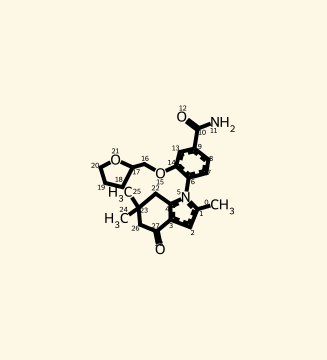 Cc1cc2c(n1-c1ccc(C(N)=O)cc1OCC1CCCO1)CC(C)(C)CC2=O